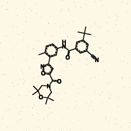 Cc1ccc(NC(=O)c2cc(C#N)cc(C(C)(C)C)c2)cc1-c1cc(C(=O)N2CC(C)(C)OC(C)(C)C2)on1